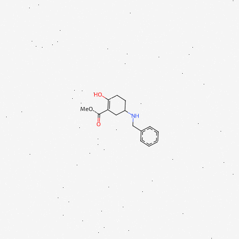 COC(=O)C1=C(O)CCC(NCc2ccccc2)C1